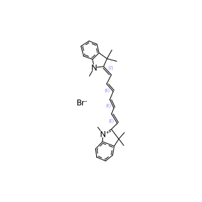 CN1\C(=C/C=C/C=C/C=C/C2=[N+](C)c3ccccc3C2(C)C)C(C)(C)c2ccccc21.[Br-]